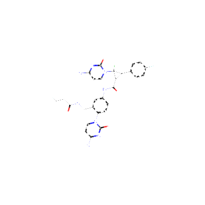 Nc1ccn(-c2ccc(NC(=O)C3C(c4ccc(F)cc4)C3(Cl)n3ccc(N)nc3=O)cc2CNC(=O)CCF)c(=O)n1